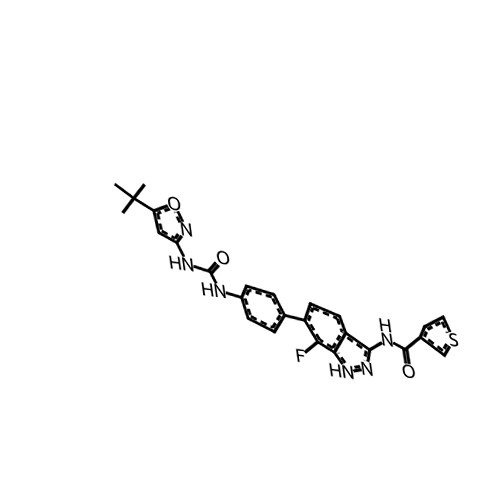 CC(C)(C)c1cc(NC(=O)Nc2ccc(-c3ccc4c(NC(=O)c5ccsc5)n[nH]c4c3F)cc2)no1